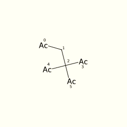 CC(=O)CC(C(C)=O)(C(C)=O)C(C)=O